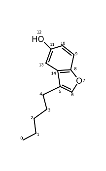 CCCCCc1coc2ccc(O)cc12